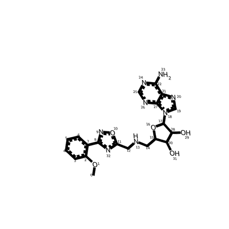 COc1ccccc1-c1noc(CNCC2OC(n3cnc4c(N)ncnc43)C(O)C2O)n1